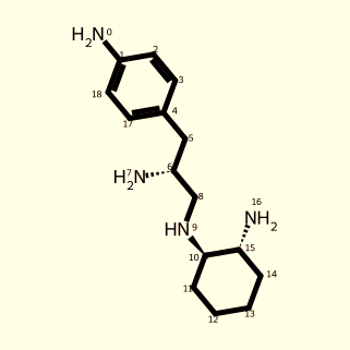 Nc1ccc(C[C@@H](N)CN[C@@H]2CCCC[C@H]2N)cc1